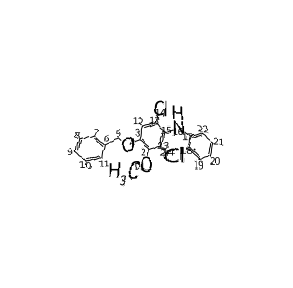 COc1c(OCc2ccccc2)cc(Cl)c(Nc2[c]cccc2)c1Cl